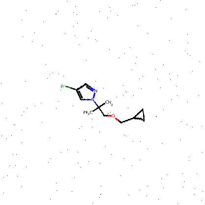 CC(C)(COCC1CC1)n1cc(Br)cn1